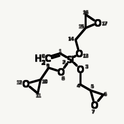 C=C[Si](OCC1CO1)(OCC1CO1)OCC1CO1